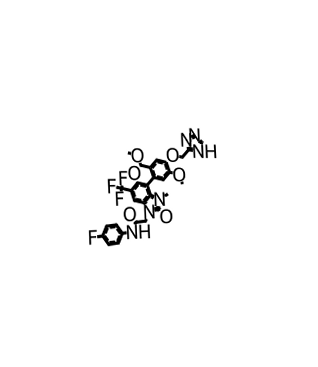 COC(=O)c1cc(OCc2nnc[nH]2)c(OC)cc1-c1cc(C(F)(F)F)cc2c1n(C)c(=O)n2CC(=O)Nc1ccc(F)cc1